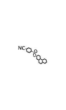 N#Cc1ccc(C(=O)Oc2ccc3c(ccc4ccccc43)c2)cc1